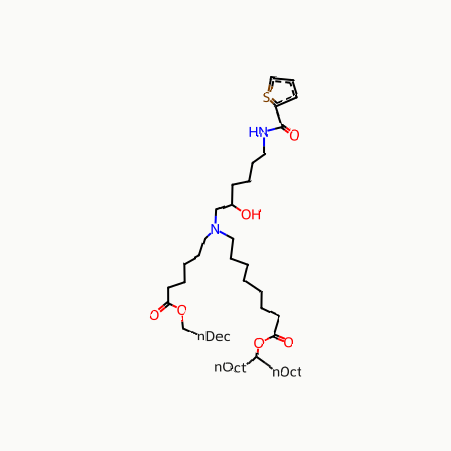 CCCCCCCCCCCOC(=O)CCCCCN(CCCCCCCC(=O)OC(CCCCCCCC)CCCCCCCC)CC(O)CCCCNC(=O)c1cccs1